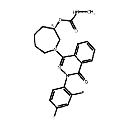 CNC(=O)O[C@@H]1CCCCN(c2nn(-c3ccc(F)cc3F)c(=O)c3ccccc23)C1